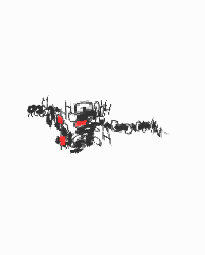 CCC(C)[C@@H]([C@@H](CC(=O)N1CCC[C@H]1[C@H](OC)[C@@H](C)C(=O)NC(Cc1ccccc1)C(=O)O)OC)N(C)C(=O)[C@@H](NC(=O)[C@H](C(C)C)N(C)C(=O)OCc1ccc(O[C@@H]2O[C@H](CO)[C@H](O)[C@H](O)[C@H]2O)c2cc(C(=O)NCCOCCOCCOCCOCCN=[N+]=[N-])sc12)C(C)C